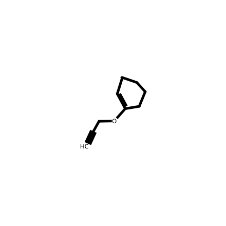 C#CCOC1=C[CH]CCC1